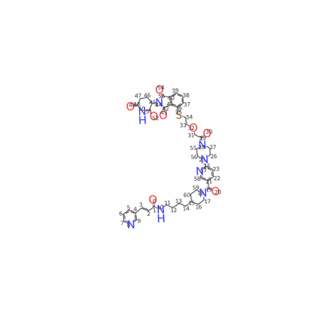 O=C(/C=C/c1cccnc1)NCCCCC1CCN(C(=O)c2ccc(N3CCN(C(=O)COCCSc4cccc5c4C(=O)N(C4CCC(=O)NC4=O)C5=O)CC3)nc2)CC1